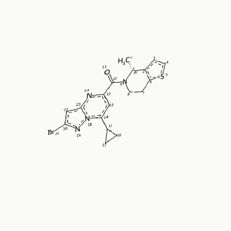 C[C@@H]1c2ccsc2CCN1C(=O)c1cc(C2CC2)n2nc(Br)cc2n1